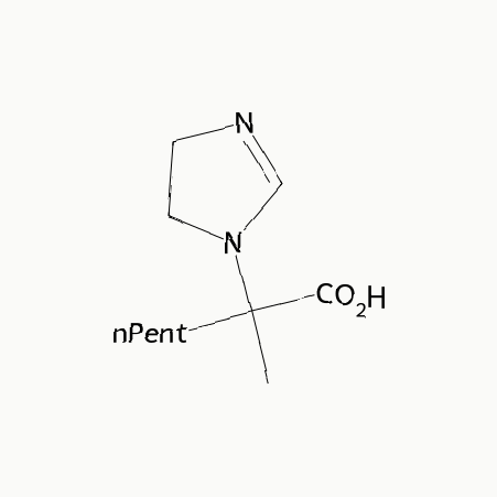 CCCCCC(C)(C(=O)O)N1C=NCC1